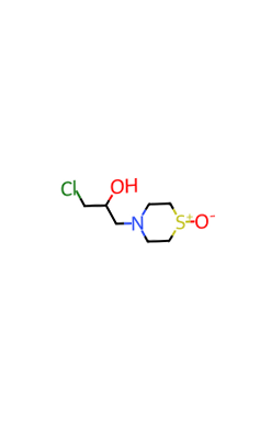 [O-][S+]1CCN(CC(O)CCl)CC1